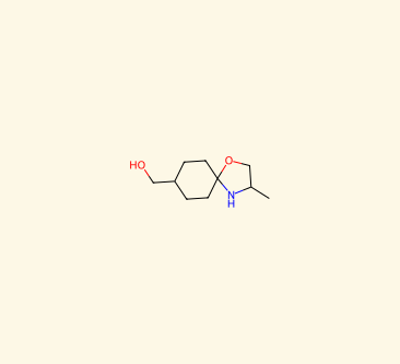 CC1COC2(CCC(CO)CC2)N1